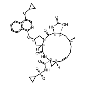 C[C@H]1CCC=C[C@@H]2C[C@@]2(C(=O)NS(=O)(=O)C2CC2)NC(=O)[C@@H]2C[C@@H](Oc3ncc(OC4CC4)c4ccccc34)CN2C(=O)[C@@H](NC(=O)O)[C@H](C)C1